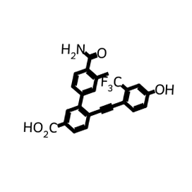 Cc1cc(-c2cc(C(=O)O)ccc2C#Cc2ccc(O)cc2C(F)(F)F)ccc1C(N)=O